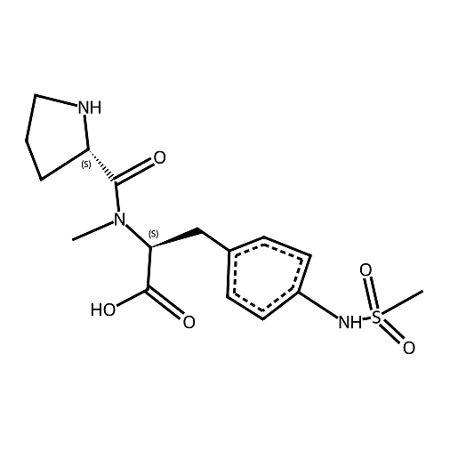 CN(C(=O)[C@@H]1CCCN1)[C@@H](Cc1ccc(NS(C)(=O)=O)cc1)C(=O)O